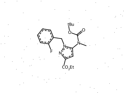 CCOC(=O)c1cc(N(C)C(=O)OC(C)(C)C)n(Cc2ccccc2F)n1